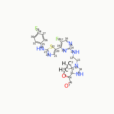 CC1(C)C(C(=O)C=O)NCN1CCNc1ncc(F)c(-c2cnc(Nc3ccc(F)cc3)s2)n1